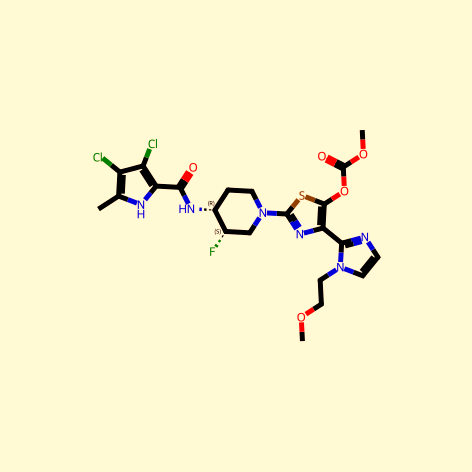 COCCn1ccnc1-c1nc(N2CC[C@@H](NC(=O)c3[nH]c(C)c(Cl)c3Cl)[C@@H](F)C2)sc1OC(=O)OC